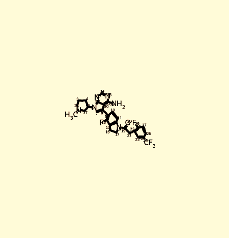 CN1CCCC(n2cc(-c3ccc4c(c3F)CCN4C(=O)Cc3cc(C(F)(F)F)ccc3F)c3c(N)ncnc32)C1